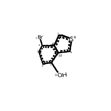 Oc1ccc(Br)c2cscc12